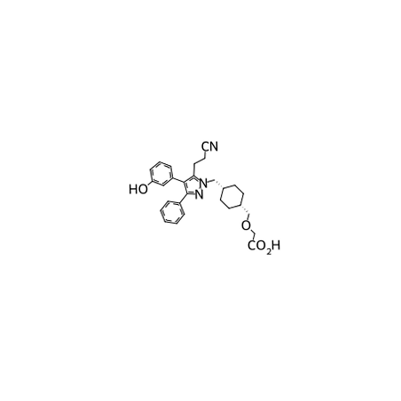 N#CCCc1c(-c2cccc(O)c2)c(-c2ccccc2)nn1C[C@H]1CC[C@@H](COCC(=O)O)CC1